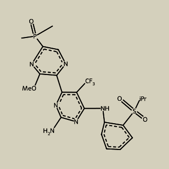 COc1nc(P(C)(C)=O)cnc1-c1nc(N)nc(Nc2ccccc2S(=O)(=O)C(C)C)c1C(F)(F)F